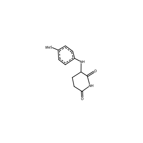 CSc1ccc(NC2CCC(=O)NC2=O)cc1